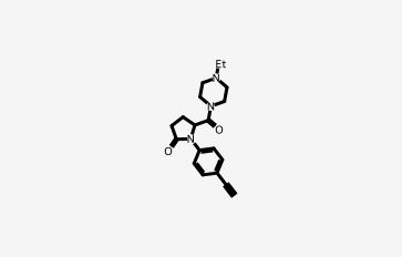 C#Cc1ccc(N2C(=O)CCC2C(=O)N2CCN(CC)CC2)cc1